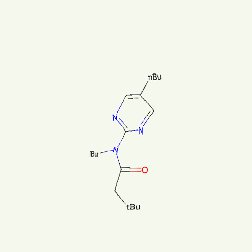 CCCCc1cnc(N(C(=O)CC(C)(C)C)C(C)CC)nc1